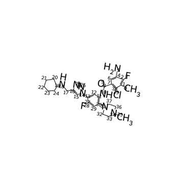 Cc1c(F)c(N)cc(C(=O)Nc2cc(-n3cc(CNC4CCCCC4)nn3)c(F)cc2N2CCN(C)CC2)c1Cl